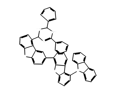 c1ccc(C2=NC(c3cccc4sc5ccc(-c6cccc7c6oc6cccc(-n8c9ccccc9c9ccccc98)c67)cc5c34)NC(c3ccccc3)N2)cc1